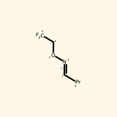 CC(C)/C=N/OCC(F)(F)F